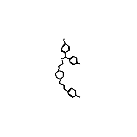 Fc1ccc(C=CCN2CCN(CCOC(c3ccc(F)cc3)c3ccc(F)cc3)CC2)cc1